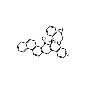 O=C1C(Nc2ccccc2)=C(c2ccncc2OCC2CC2)Cc2ccc3c(c21)CC=C1CC=CC=C13